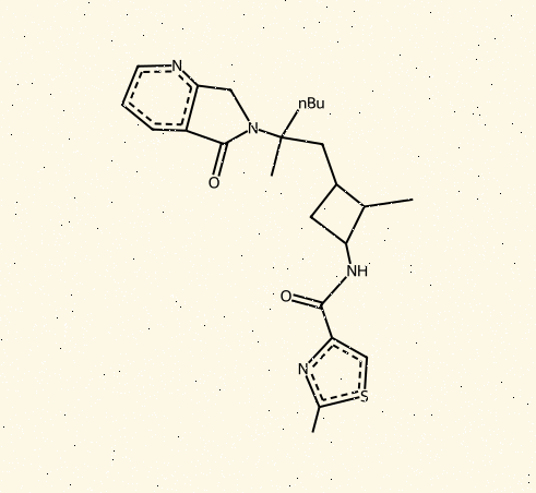 CCCCC(C)(CC1CC(NC(=O)c2csc(C)n2)C1C)N1Cc2ncccc2C1=O